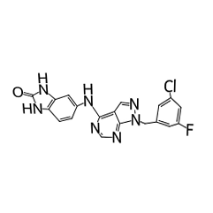 O=c1[nH]c2ccc(Nc3ncnc4c3cnn4Cc3cc(F)cc(Cl)c3)cc2[nH]1